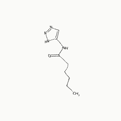 CCCCCC(=O)Nc1cnn[nH]1